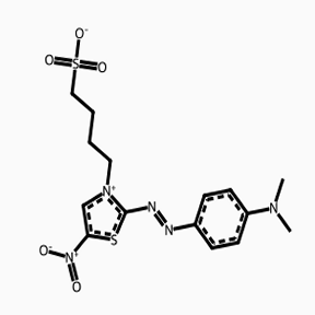 CN(C)c1ccc(/N=N/c2sc([N+](=O)[O-])c[n+]2CCCCS(=O)(=O)[O-])cc1